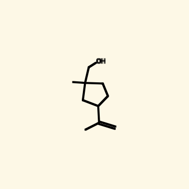 C=C(C)C1CCC(C)(CO)C1